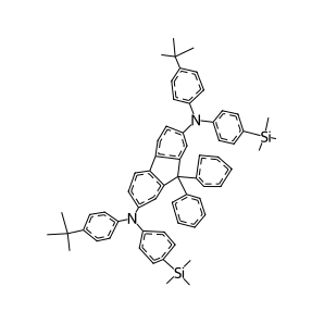 CC(C)(C)c1ccc(N(c2ccc([Si](C)(C)C)cc2)c2ccc3c(c2)C(c2ccccc2)(c2ccccc2)c2cc(N(c4ccc(C(C)(C)C)cc4)c4ccc([Si](C)(C)C)cc4)ccc2-3)cc1